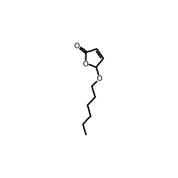 CCCCCCOC1C=CC(=O)O1